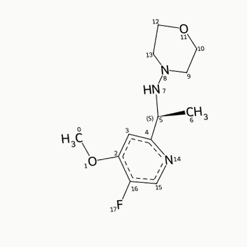 COc1cc([C@H](C)NN2CCOCC2)ncc1F